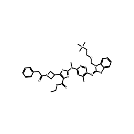 CCOC(=O)c1nc(N(C)c2cc(C)c(N=c3sc4ccccc4n3COCC[Si](C)(C)C)nn2)sc1C1CN(C(=O)Cc2ccccc2)C1